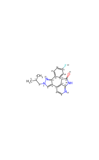 CC(C)Cn1cc(-c2ccnc3c2CC(=O)N3)c(-c2ccc(F)cc2)n1